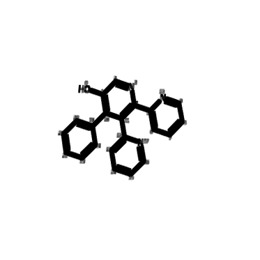 Oc1cnc(-c2ccccn2)c(-c2ccccn2)c1-c1ccccc1